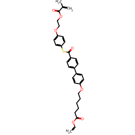 C=COC(=O)CCCCCOc1ccc(-c2ccc(C(=O)Sc3ccc(OCCOC(=O)C(=C)C)cc3)cc2)cc1